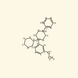 COc1cccc([N+]2(C3CCCCC3)CCN(c3ccccn3)CC2)c1